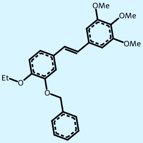 CCOc1ccc(/C=C/c2cc(OC)c(OC)c(OC)c2)cc1OCc1ccccc1